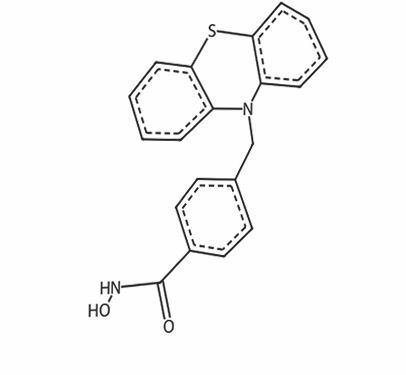 O=C(NO)c1ccc(CN2c3ccccc3Sc3ccccc32)cc1